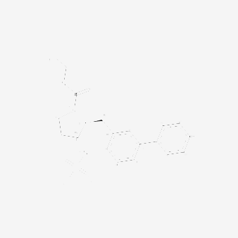 CCNC(=O)N1CC[C@@H](NS(C)(=O)=O)[C@@H]1Cc1cccc(-c2ccccc2)c1